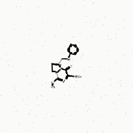 C=C(NC(C)=O)C(=O)N1[C@@H](C[Se]c2ccccc2)CC[C@H]1C(=O)OC(C)(C)C